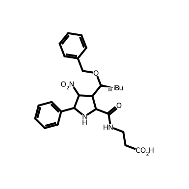 CC[C@H](C)C(OCc1ccccc1)C1C(C(=O)NCCC(=O)O)NC(c2ccccc2)C1[N+](=O)[O-]